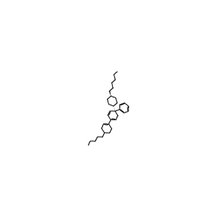 CCCCCC[C@H]1CC[C@H](C2(c3ccccc3)C=CC(C3=CCC(CCCCC)CC3)=CC2)CC1